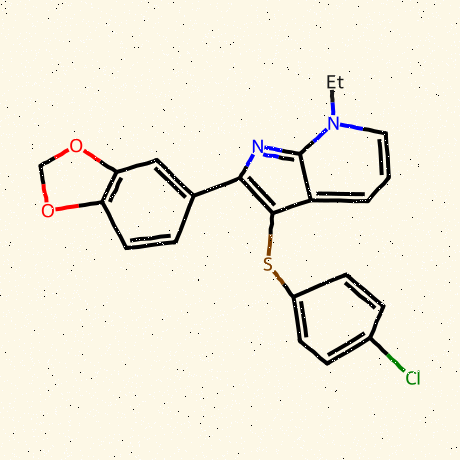 CCn1cccc2c(Sc3ccc(Cl)cc3)c(-c3ccc4c(c3)OCO4)nc1-2